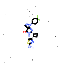 Nc1nc([C@@H]2CC[C@H]2c2nc3c(cnn3C3CCC(F)(F)CC3)c(=O)[nH]2)cs1